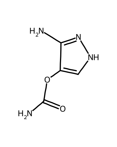 NC(=O)Oc1c[nH]nc1N